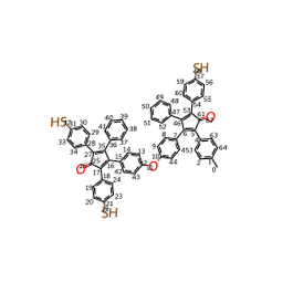 Cc1ccc(C2=C(c3ccc(Oc4ccc(C5=C(c6ccc(S)cc6)C(=O)C(c6ccc(S)cc6)=C5c5ccccc5)cc4)cc3)C(c3ccccc3)=C(c3ccc(S)cc3)C2=O)cc1